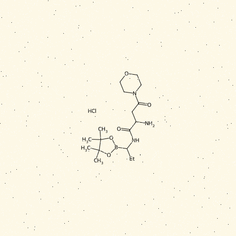 CCC(NC(=O)C(N)CC(=O)N1CCOCC1)B1OC(C)(C)C(C)(C)O1.Cl